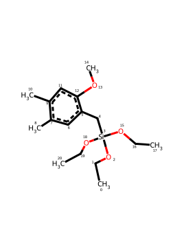 CCO[Si](Cc1cc(C)c(C)cc1OC)(OCC)OCC